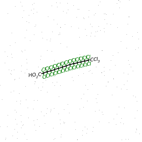 O=C(O)C(Cl)(Cl)C(Cl)(Cl)C(Cl)(Cl)C(Cl)(Cl)C(Cl)(Cl)C(Cl)(Cl)C(Cl)(Cl)C(Cl)(Cl)C(Cl)(Cl)C(Cl)(Cl)C(Cl)(Cl)C(Cl)(Cl)C(Cl)(Cl)C(Cl)(Cl)Cl